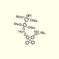 CCOc1c(COC)cc(-c2cc(COC)c(OCC(O)COc3ccc(C4(c5ccc(OCC(O)CC(C)(C)C)cc5)c5ccccc5-c5ccccc54)cc3)c(COC)c2)cc1COC